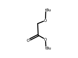 CC(C)(C)OCC(=O)OC(C)(C)C